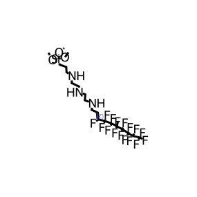 CO[Si](CCCNCCNCCNC/C=C(\F)C(F)(F)C(F)(F)C(F)(F)C(F)(F)C(F)(F)C(F)(F)C(F)(F)F)(OC)OC